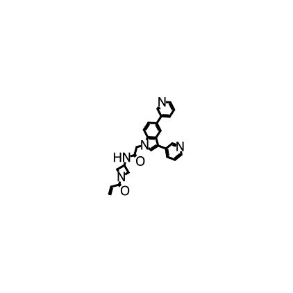 C=CC(=O)N1CC(NC(=O)Cn2cc(-c3cccnc3)c3cc(-c4cccnc4)ccc32)C1